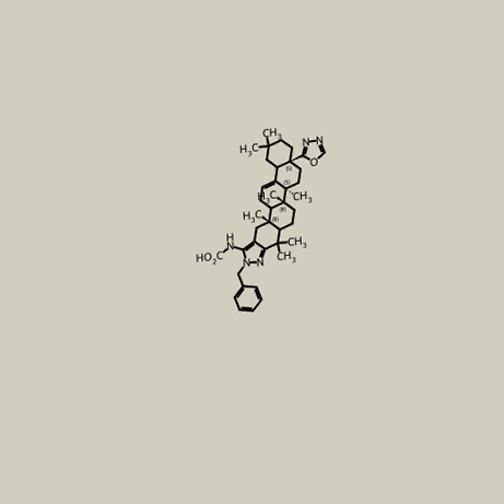 CC1(C)CC[C@]2(c3nnco3)CC[C@]3(C)C(=CCC4[C@@]5(C)Cc6c(nn(Cc7ccccc7)c6NC(=O)O)C(C)(C)C5CC[C@]43C)C2C1